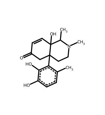 Cc1ccc(O)c(O)c1C12CCN(C)C(C)C1(O)C=CC(=O)C2